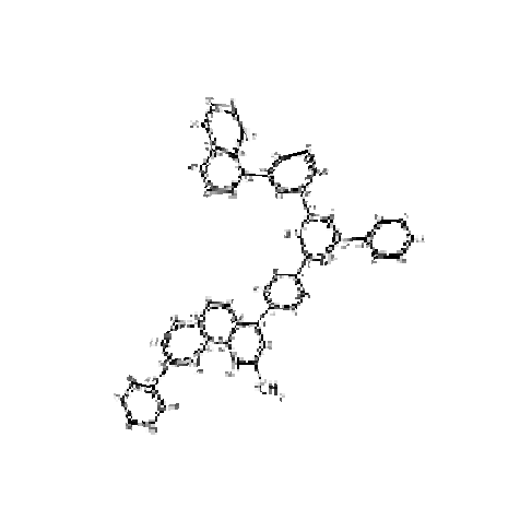 Cc1cc(-c2ccc(-c3nc(-c4ccccc4)cc(-c4cccc(-c5cccc6cccnc56)c4)n3)cc2)c2ccc3ccc(-c4ccccc4)nc3c2n1